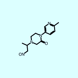 Cc1ccc(N2CCN(C(C)CN=O)CC2=O)cn1